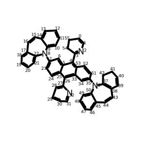 C1=CN=C(c2c3cc(N4c5ccccc5C=Cc5ccccc54)ccc3c(-c3ccccn3)c3cc(N4C5=C(C=CCC5)C=Cc5ccccc54)ccc23)CC1